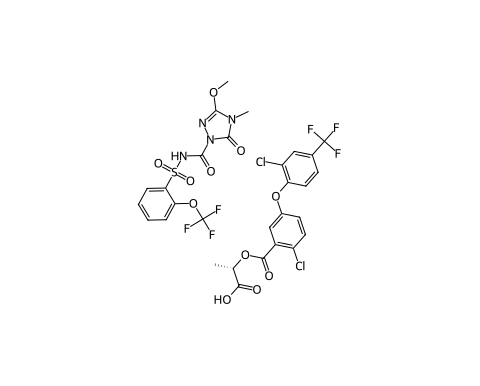 COc1nn(C(=O)NS(=O)(=O)c2ccccc2OC(F)(F)F)c(=O)n1C.C[C@H](OC(=O)c1cc(Oc2ccc(C(F)(F)F)cc2Cl)ccc1Cl)C(=O)O